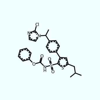 CC(C)Cc1cc(-c2ccc(C(C)n3ccnc3Cl)cc2)c(S(=O)(=O)NC(=O)Oc2ccccc2)s1